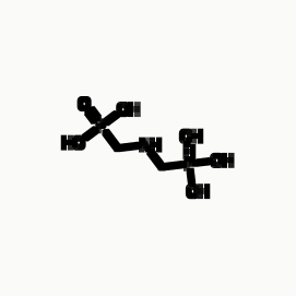 O=P(O)(O)CNC[PH](O)(O)O